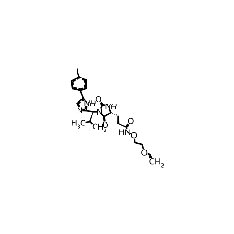 C=COCCONC(=O)CC[C@H]1NC(=O)N([C@H](c2ncc(-c3ccc(I)cc3)[nH]2)C(C)C)C1=O